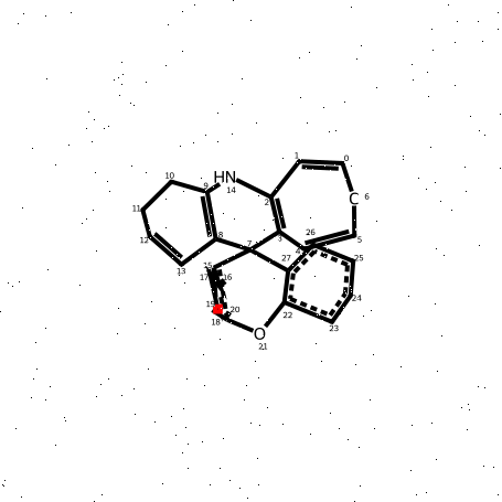 C1=CC2=C(C=CC1)C1(C3=C(CCC=C3)N2)c2ccccc2Oc2ccccc21